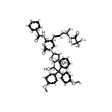 COc1ccc(C(c2ccccc2)(c2ccc(OC)cc2)C(O)[C@H]2O[C@@H](n3cc(C=CCC(C)NC(=O)C(F)(F)F)c(NC(=O)c4ccccc4)nc3=O)C[C@@H]2O)cc1